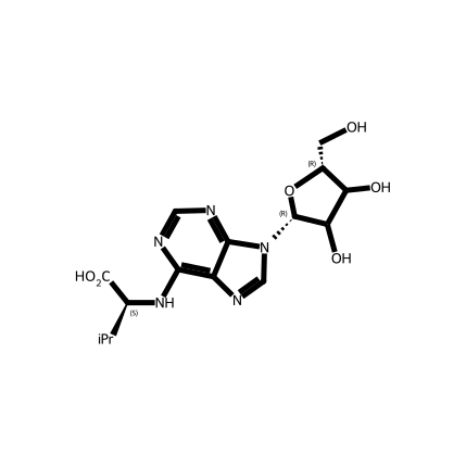 CC(C)[C@H](Nc1ncnc2c1ncn2[C@@H]1O[C@H](CO)C(O)C1O)C(=O)O